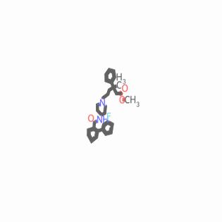 COC(=O)CC(C)(CCCN1CCC(NC(=O)c2ccccc2-c2cccc(F)c2)CC1)c1ccccc1